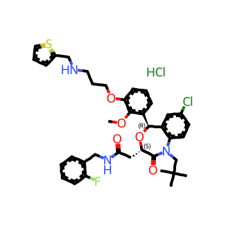 COc1c(OCCCNCc2cccs2)cccc1[C@@H]1O[C@@H](CC(=O)NCc2ccccc2F)C(=O)N(CC(C)(C)C)c2ccc(Cl)cc21.Cl